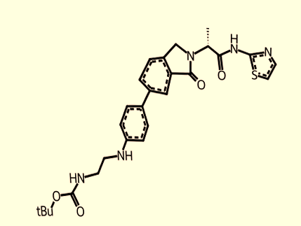 C[C@H](C(=O)Nc1nccs1)N1Cc2ccc(-c3ccc(NCCNC(=O)OC(C)(C)C)cc3)cc2C1=O